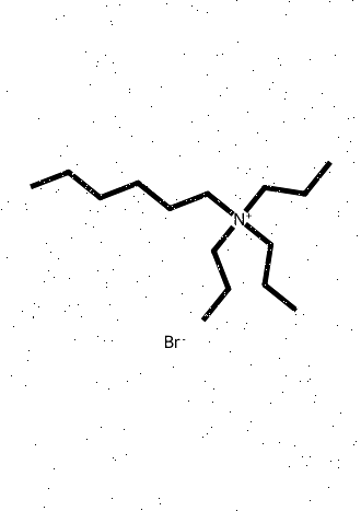 CCCCCC[N+](CCC)(CCC)CCC.[Br-]